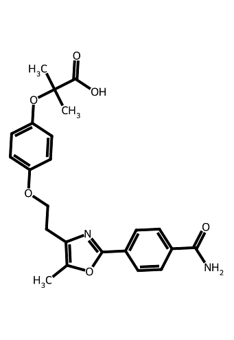 Cc1oc(-c2ccc(C(N)=O)cc2)nc1CCOc1ccc(OC(C)(C)C(=O)O)cc1